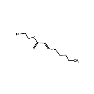 CCCCCC=CC(=O)OCCO